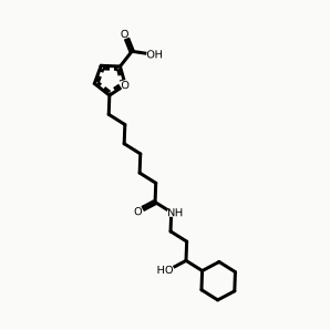 O=C(CCCCCCc1ccc(C(=O)O)o1)NCCC(O)C1CCCCC1